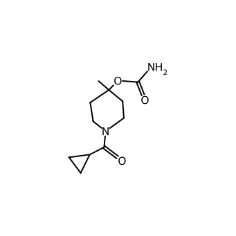 CC1(OC(N)=O)CCN(C(=O)C2CC2)CC1